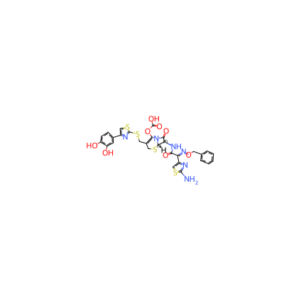 Nc1nc(C(=NOCc2ccccc2)C(=O)N[C@@H]2C(=O)N3C(OC(=O)O)=C(CSc4nc(-c5ccc(O)c(O)c5)cs4)CS[C@@H]23)cs1